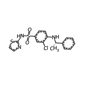 C[C@H](Nc1ccc(S(=O)(=O)Nc2nccs2)cc1Cl)c1ccccc1